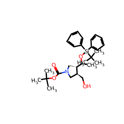 C[C@H](O[Si](c1ccccc1)(c1ccccc1)C(C)(C)C)[C@H]1CN(C(=O)OC(C)(C)C)C[C@@H]1CO